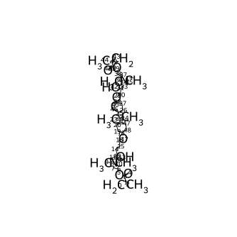 C=C(C)C(=O)OCC[N+](C)(C)CC(O)CCCOC1CCC(C(C)(C)C2CCC(OCC(O)C[N+](C)(C)CCOC(=O)C(=C)C)CC2)CC1